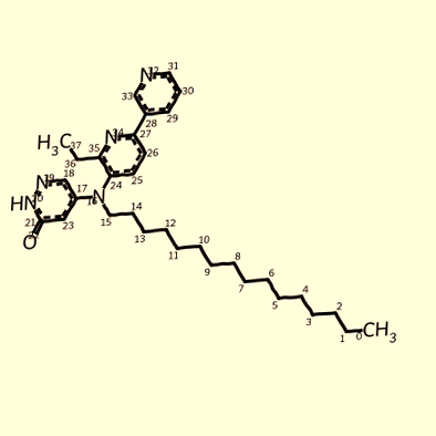 CCCCCCCCCCCCCCCCN(c1cn[nH]c(=O)c1)c1ccc(-c2cccnc2)nc1CC